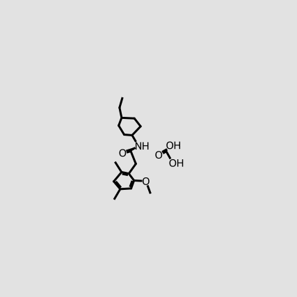 CCC1CCC(NC(=O)Cc2c(C)cc(C)cc2OC)CC1.O=C(O)O